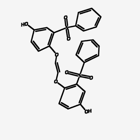 O=S(=O)(c1ccccc1)c1cc(O)ccc1OC=COc1ccc(O)cc1S(=O)(=O)c1ccccc1